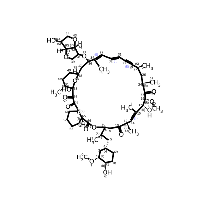 CO[C@@H]1C[C@H](C[C@@H](C)[C@@H]2CC(=O)[C@H](C)/C=C(\C)[C@@H](O)[C@@H](OC)C(=O)[C@H](C)C[C@H](C)/C=C/C=C/C=C(\C)[C@H](OC3CO[C@H]4[C@@H]3OC[C@@H]4O)C[C@@H]3CC[C@@H](C)[C@@](O)(O3)C(=O)C(=O)N3CCCC[C@H]3C(=O)O2)CC[C@H]1O